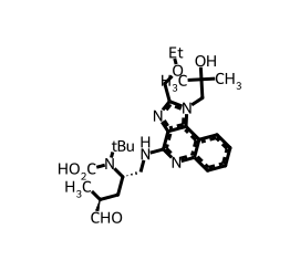 CCOCc1nc2c(NC[C@H](C[C@H](C)C=O)N(C(=O)O)C(C)(C)C)nc3ccccc3c2n1CC(C)(C)O